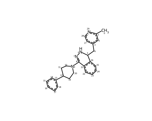 Cc1cc(CC2NN=C(N3CCC(c4ccccc4)CC3)c3ccccc32)ccn1